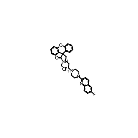 O=C(NCC(F)(F)F)C1(CCCCN2CCN(c3ccc4cc(F)ccc4n3)CC2)c2ccccc2Oc2ccccc21